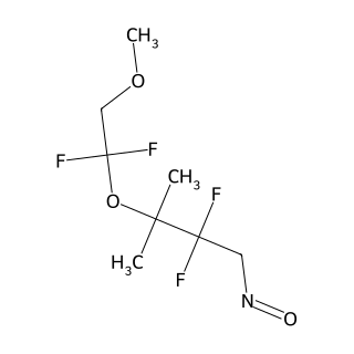 COCC(F)(F)OC(C)(C)C(F)(F)CN=O